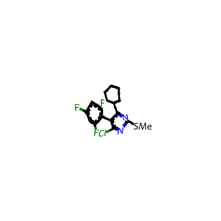 CSc1nc(Cl)c(-c2c(F)cc(F)cc2F)c(C2CCCCC2)n1